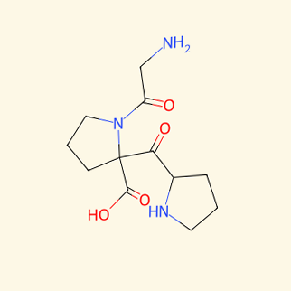 NCC(=O)N1CCCC1(C(=O)O)C(=O)C1CCCN1